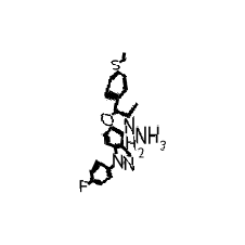 CCSc1ccc(C(Oc2ccc3c(cnn3-c3ccc(F)cc3)c2)C(C)N)cc1.N